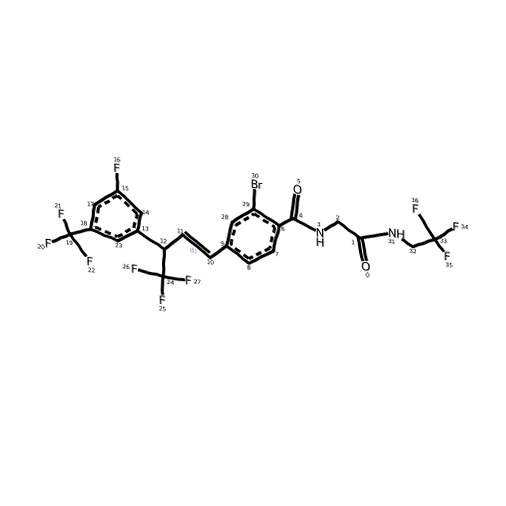 O=C(CNC(=O)c1ccc(/C=C/C(c2cc(F)cc(C(F)(F)F)c2)C(F)(F)F)cc1Br)NCC(F)(F)F